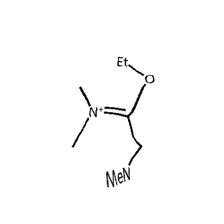 CCOC(CNC)=[N+](C)C